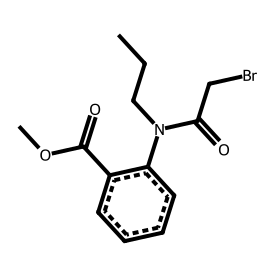 CCCN(C(=O)CBr)c1ccccc1C(=O)OC